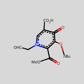 CCCCOc1c(C(=O)OC)n(CC=O)cc(C(=O)O)c1=O